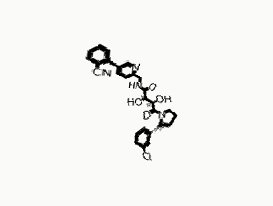 N#Cc1ccccc1-c1ccc(CNC(=O)[C@H](O)[C@@H](O)C(=O)N2CCC[C@@H]2c2cccc(Cl)c2)nc1